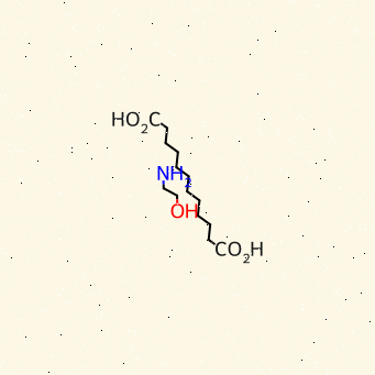 NCCO.O=C(O)CCCCCCCCCCC(=O)O